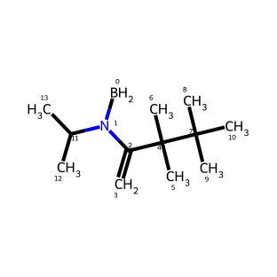 BN(C(=C)C(C)(C)C(C)(C)C)C(C)C